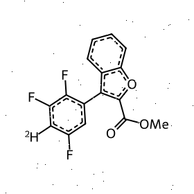 [2H]c1c(F)cc(-c2c(C(=O)OC)oc3ccccc23)c(F)c1F